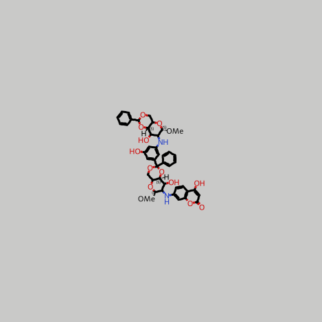 CO[C@H]1OC2COC(c3ccccc3)O[C@H]2C(O)C1Nc1cc(O)cc(C2(c3ccccc3)OCC3O[C@H](OC)C(Nc4ccc5c(O)cc(=O)oc5c4)C(O)[C@@H]3O2)c1